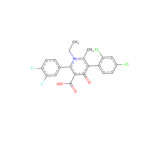 CCn1c(C)c(-c2ccc(Cl)cc2Cl)c(=O)c(C(=O)O)c1-c1ccc(F)c(F)c1